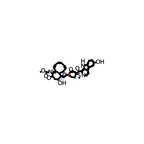 COC(=O)NC1=C2C#C/C=C\C#C[C@H](OC3CCC(SC)(C(=O)c4nccc5c4[nH]c4ccc(O)cc45)CC3)C2/C(=C\CSC(C)=O)[C@@H](O)CC1=O